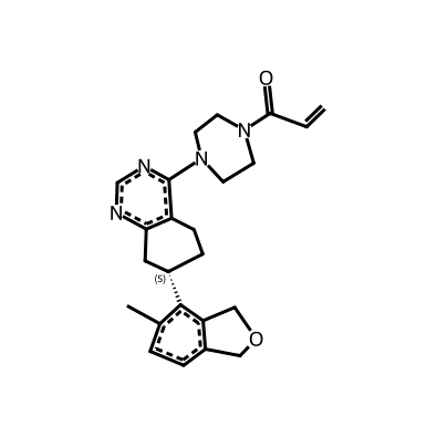 C=CC(=O)N1CCN(c2ncnc3c2CC[C@H](c2c(C)ccc4c2COC4)C3)CC1